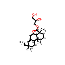 C=CC1(C)C=C2CCC3C(C)(C(=O)OCC(O)CO)CCCC3(C)C2CC1